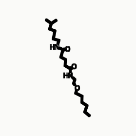 CCCCCCOCCNC(=O)CCCC(=O)NCCCCC(C)C